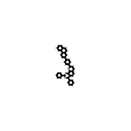 c1ccc(-c2nc(-c3ccccc3)c3ccc4ccc(-c5ccc(-c6ccc7c(ccc8ccccc87)c6)cc5)nc4c3n2)cc1